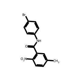 Cc1ccc([N+](=O)[O-])c(C(=O)Nc2ccc(Br)cc2)c1